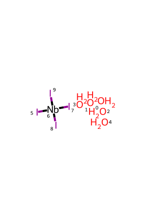 O.O.O.O.O.[I][Nb]([I])([I])[I]